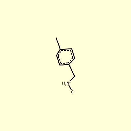 [CH2-][NH2+]Cc1ccc(C)cc1